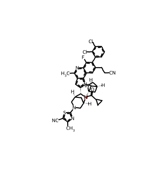 Cc1nc(N2C[C@@H]3C[C@H](C2)N(C(=O)C2CC2)[C@H]3c2cc3c(C)nc4c(F)c(-c5cccc(Cl)c5Cl)c(CCC#N)cc4c3n2[C@H]2[C@H]3CN[C@@H]2C3)sc1C#N